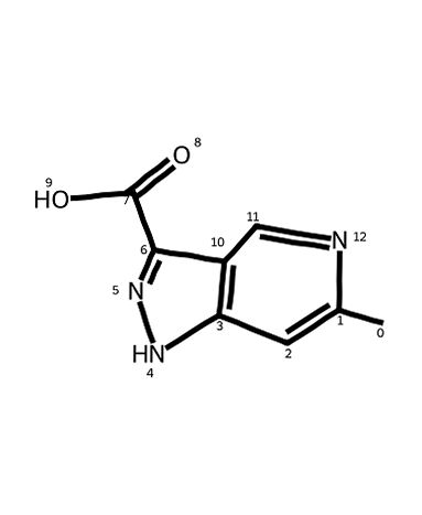 Cc1cc2[nH]nc(C(=O)O)c2cn1